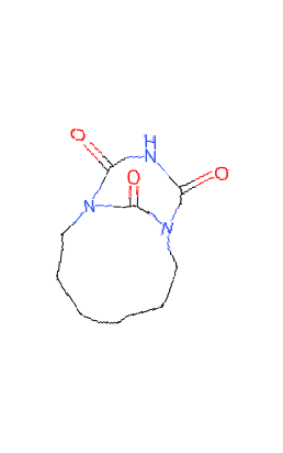 O=c1[nH]c(=O)n2c(=O)n1CCCCCC2